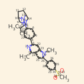 Cc1nc(-c2ccc(N3CC4CCC(C3)N4CC(C)C)cc2)cc2c1cc(-c1ccc(S(C)(=O)=O)cc1)n2C